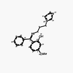 COc1ccc(/C(=N\CCCn2ccnc2)c2ccccc2)c(O)c1